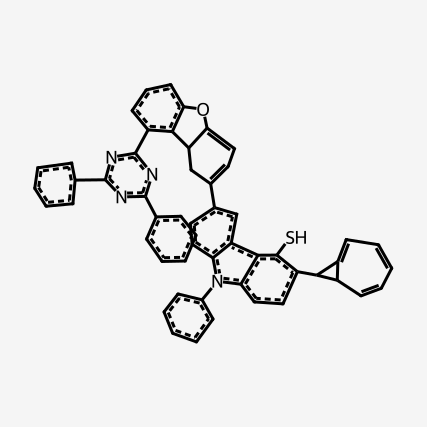 Sc1c(C2C3=CC=CC=CC32)ccc2c1c1cc(C3=CC=C4Oc5cccc(-c6nc(-c7ccccc7)nc(-c7ccccc7)n6)c5C4C3)ccc1n2-c1ccccc1